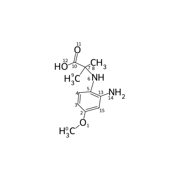 COc1ccc(NC(C)(C)C(=O)O)c(N)c1